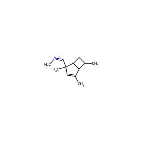 C/N=C\C1(C)C=C(C)C2C(C)CC21